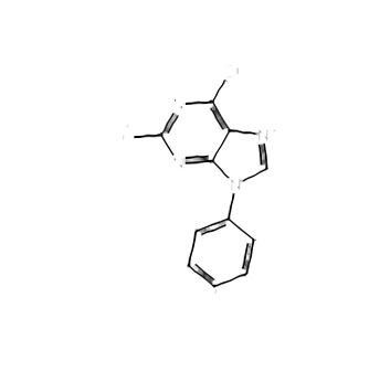 CCc1nc(C(F)(F)F)nc2c1ncn2-c1ccccc1